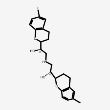 Cc1ccc2c(c1)CCC([C@H](O)CNC[C@@H](O)C1CCc3cc(F)ccc3O1)O2